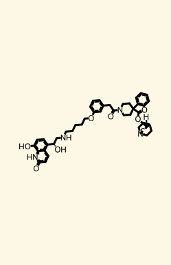 O=C(Cc1cccc(OCCCCCNC[C@H](O)c2ccc(O)c3[nH]c(=O)ccc23)c1)N1CCC(C(=O)O[C@H]2CN3CCC2CC3)(c2ccccc2)CC1